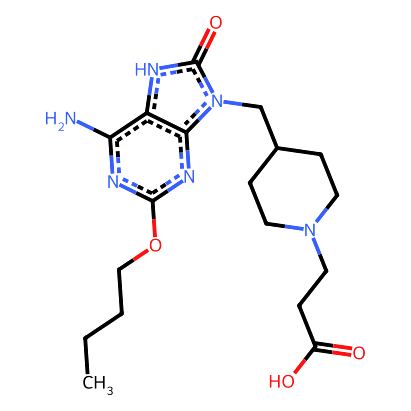 CCCCOc1nc(N)c2[nH]c(=O)n(CC3CCN(CCC(=O)O)CC3)c2n1